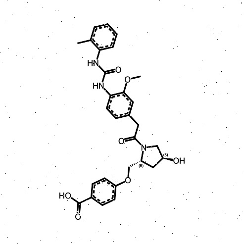 COc1cc(CC(=O)N2C[C@@H](O)C[C@@H]2COc2ccc(C(=O)O)cc2)ccc1NC(=O)Nc1ccccc1C